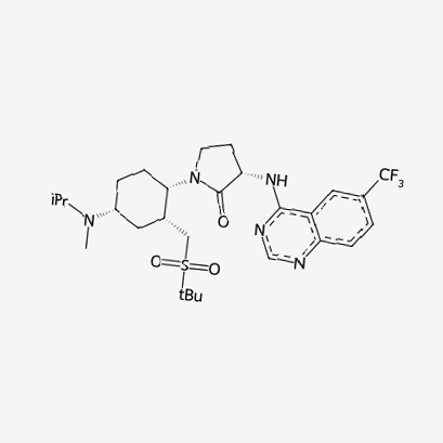 CC(C)N(C)[C@@H]1CC[C@H](N2CC[C@H](Nc3ncnc4ccc(C(F)(F)F)cc34)C2=O)[C@H](CS(=O)(=O)C(C)(C)C)C1